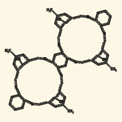 Cc1cc2cnc3ccccc3ncc3cc(C)cc(cnc4cc5ncc6cc(C)cc(cnc7ccccc7ncc7cc(C)cc(cnc5cc4ncc(c1)c2O)c7O)c6O)c3O